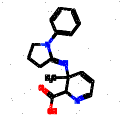 CC1(/N=C2\CCCN2c2ccccc2)C=CC=NC1C(=O)O